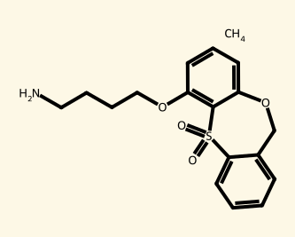 C.NCCCCOc1cccc2c1S(=O)(=O)c1ccccc1CO2